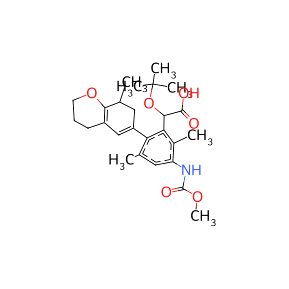 COC(=O)Nc1cc(C)c(C2=CC3=C(OCCC3)C(C)C2)c(C(OC(C)(C)C)C(=O)O)c1C